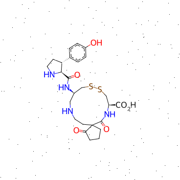 O=C(O)[C@@H]1CSSC[C@H](NC(=O)[C@H]2NCC[C@@H]2c2ccc(O)cc2)CNCCC2(CCCC2=O)C(=O)N1